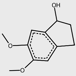 COc1cc2c(cc1OC)C(O)CC2